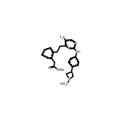 COC(=O)Cc1ccccc1CCc1nc(Nc2ccc(C3CN(C(=O)O)C3)cc2)ncc1C(F)(F)F